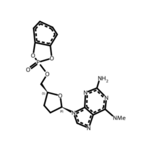 CNc1nc(N)nc2c1ncn2[C@H]1CC[C@@H](COP2(=O)Oc3ccccc3O2)O1